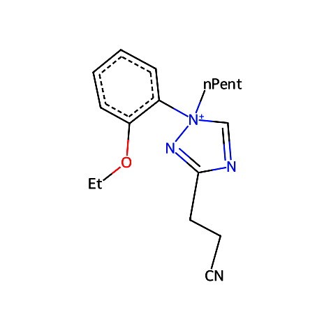 CCCCC[N+]1(c2ccccc2OCC)C=NC(CCC#N)=N1